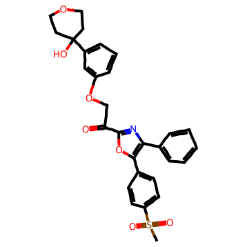 CS(=O)(=O)c1ccc(-c2oc(C(=O)COc3cccc(C4(O)CCOCC4)c3)nc2-c2ccccc2)cc1